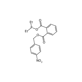 CCP(CC)OC(=O)c1ccccc1C(=O)OCc1ccc([N+](=O)[O-])cc1